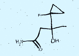 CC(O)(CC(N)=O)C1(F)CC1